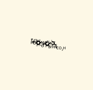 O=C(O)NCC1CCN(c2ncc(C(=O)Nc3ccc(OC(F)(F)Cl)cc3)cc2Br)C1